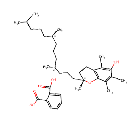 Cc1c(C)c2c(c(C)c1O)CC[C@@](C)(CCC[C@H](C)CCC[C@H](C)CCCC(C)C)O2.O=C(O)c1ccccc1C(=O)O